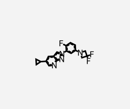 Fc1ccc(N2CC(F)(F)C2)cc1-n1cc2cc(C3CC3)cnc2n1